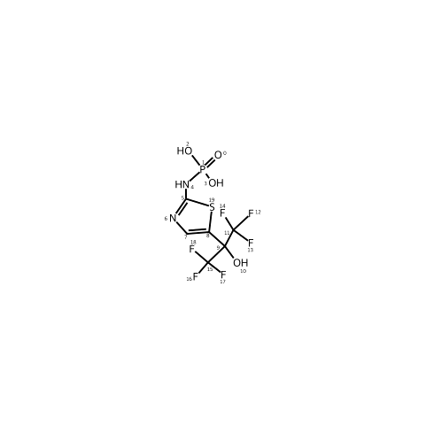 O=P(O)(O)Nc1ncc(C(O)(C(F)(F)F)C(F)(F)F)s1